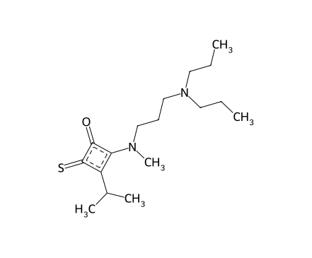 CCCN(CCC)CCCN(C)c1c(C(C)C)c(=S)c1=O